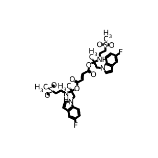 CC(Cn1ccc2cc(F)ccc21)(NCCS(C)(=O)=O)OC(=O)/C=C/C(=O)OC(C)(Cn1ccc2cc(F)ccc21)NCCS(C)(=O)=O